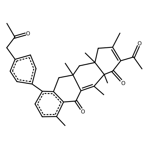 CC(=O)Cc1ccc(-c2ccc(C)c3c2CC2(C)CC4(C)CC(C)=C(C(C)=O)C(=O)C4(C)C(C)=C2C3=O)cc1